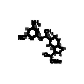 COC(=O)c1csc2cnc(C(C)Sc3nc(N)cc(C#N)n3)cc12